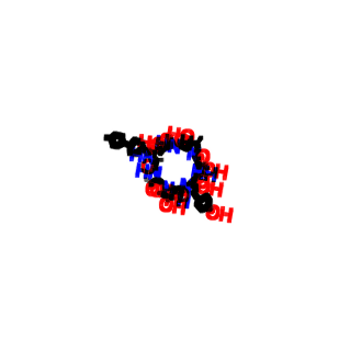 COC1NC(=O)[C@@H]2[C@@H](O)[C@@H](C)CN2C(=O)[C@H](CO)NC(=O)[C@H]([C@H](O)Cc2ccc(O)cc2)NC(=O)[C@@H]2C[C@@H](O)CN2C(=O)[C@H]([C@@H](C)O)NC(=O)[C@@H](NC(=O)c2ccc(-c3ccc(C)cc3)cc2)CC1O